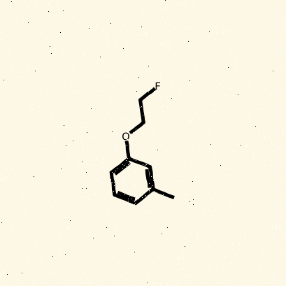 Cc1cccc(OCCF)c1